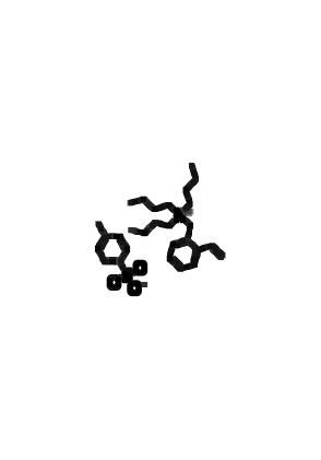 C=Cc1ccccc1C[N+](CCCC)(CCCC)CCCC.Cc1ccc(S(=O)(=O)[O-])cc1